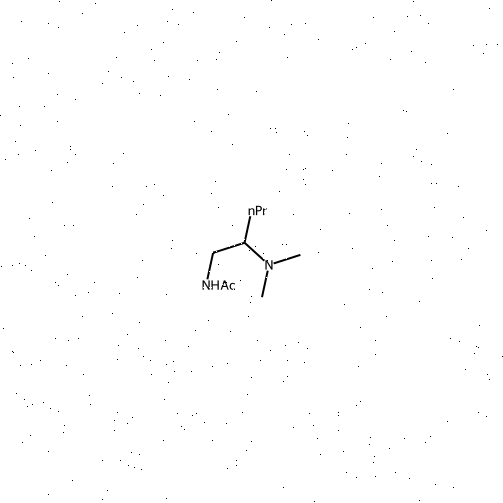 CCCC(CNC(C)=O)N(C)C